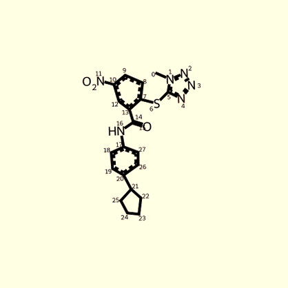 Cn1nnnc1Sc1ccc([N+](=O)[O-])cc1C(=O)Nc1ccc(C2CCCC2)cc1